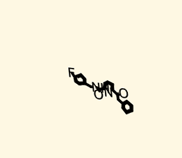 O=C(Cc1ccccc1)c1cccc(C(=O)NCc2ccc(F)cc2)n1